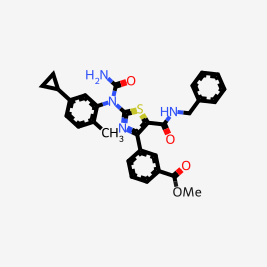 COC(=O)c1cccc(-c2nc(N(C(N)=O)c3cc(C4CC4)ccc3C)sc2C(=O)NCc2ccccc2)c1